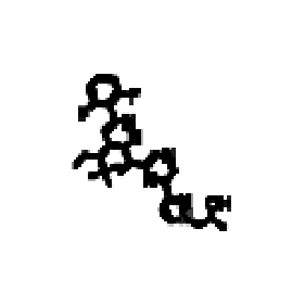 CCC(c1cc(-c2c(F)cccc2F)nnc1C(C)c1cncc(-c2ccn(C[C@H](C)O)n2)n1)C(C)(C)C